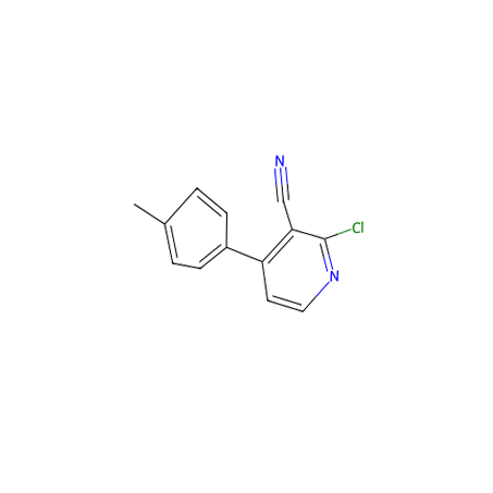 Cc1ccc(-c2ccnc(Cl)c2C#N)cc1